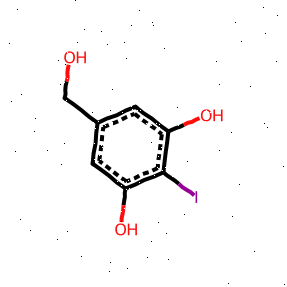 OCc1cc(O)c(I)c(O)c1